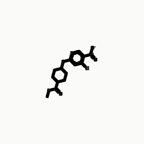 COC(=O)C1CCC(Oc2cc(Cl)c([N+](=O)[O-])cn2)CC1